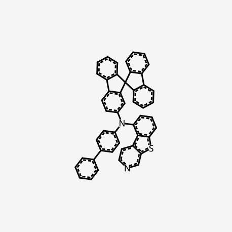 c1ccc(-c2ccc(N(c3ccc4c(c3)C3(c5ccccc5-c5ccccc53)c3ccccc3-4)c3cccc4sc5cnccc5c34)cc2)cc1